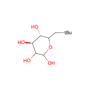 CC(C)(C)CC1OC(O)C(O)[C@@H](O)[C@@H]1O